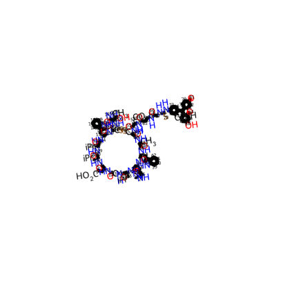 CC(C)C[C@@H]1NC(=O)C(CCC(=O)O)NC(=O)CNC(=O)[C@H](CC(C)C)NC(=O)[C@H](Cc2c[nH]cn2)NC(=O)[C@H](Cc2c[nH]c3ccccc23)NC(=O)[C@H](C)NC(=O)[C@@H](NC(=O)[C@H](CC(=O)O)NC(=O)CCNC(=O)CNC(=S)Nc2ccc(-c3c4ccc(=O)cc-4oc4cc(O)ccc34)c(C(=O)O)c2)CSSC[C@@H](C(=O)N[C@H](C(N)=O)[C@@H](C)O)NC(=O)[C@H](Cc2c[nH]c3ccccc23)NC(=O)[C@H](C(C)C)NC1=O